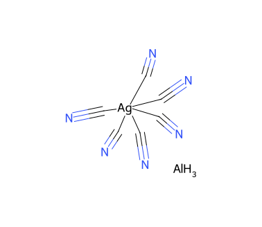 N#[C][Ag]([C]#N)([C]#N)([C]#N)([C]#N)[C]#N.[AlH3]